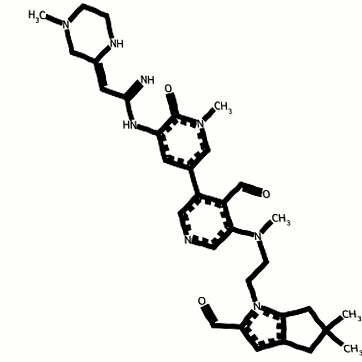 CN1CCN/C(=C\C(=N)Nc2cc(-c3cncc(N(C)CCn4c(C=O)cc5c4CC(C)(C)C5)c3C=O)cn(C)c2=O)C1